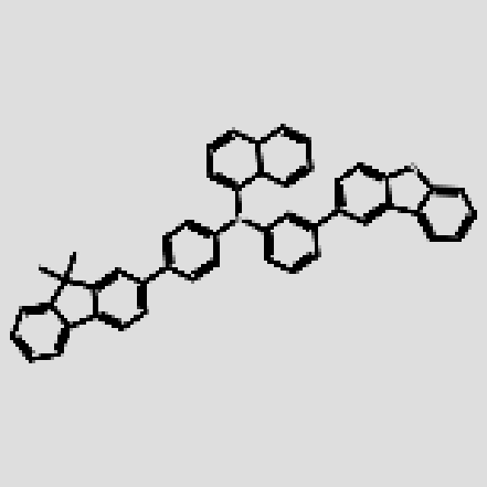 CC1(C)c2ccccc2-c2ccc(-c3ccc(N(C4=CC=CC5C=CC=CC45)c4cccc(-c5ccc6sc7ccccc7c6c5)c4)cc3)cc21